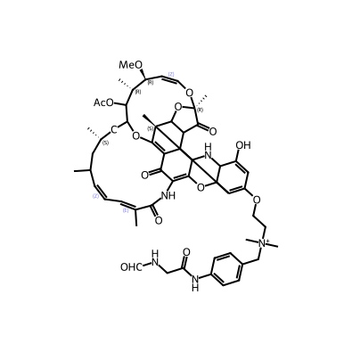 CO[C@H]1/C=C\O[C@]2(C)OC3C(C2=O)C2C4=C5OC(C[C@@H](C)CC(C)/C=C\C=C(/C)C(=O)NC(=C6OC7C(=C(OCC[N+](C)(C)Cc8ccc(NC(=O)CNC=O)cc8)C=C(O)C7NC62)[C@]53C)C4=O)C(OC(C)=O)[C@@H]1C